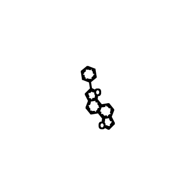 c1ccc(-c2cc3ccc4c(ccc5ccoc54)c3o2)cc1